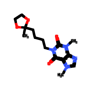 Cn1cnc2c1c(=O)n(CCCCC1(C)OCCO1)c(=O)n2C